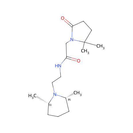 C[C@@H]1CCC[C@H](C)N1CCNC(=O)CN1C(=O)CCC1(C)C